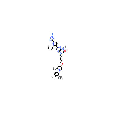 CC[C@H]1CC(OCCCCCN2CC(=O)N(CC)c3nc(-c4ccc(-c5nc[nH]n5)nc4C)cnc32)CCN1c1ccc(C#N)c(C(F)(F)F)c1